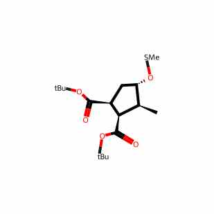 CSO[C@H]1C[C@H](C(=O)OC(C)(C)C)[C@H](C(=O)OC(C)(C)C)[C@@H]1C